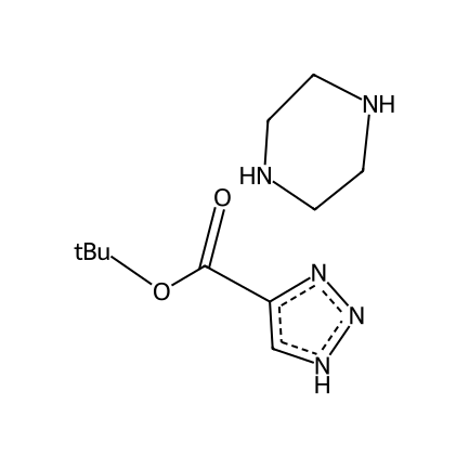 C1CNCCN1.CC(C)(C)OC(=O)c1c[nH]nn1